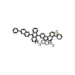 CC1(C)c2cc(-c3c4ccccc4c(-c4ccc5cc(-c6ccccc6)ccc5c4)c4ccccc34)ccc2-c2c1ccc1c2ccc2sc3c(c21)CCC=C3